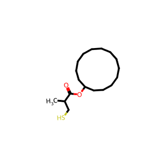 CC(CS)C(=O)OC1CCCCCCCCCCCCC1